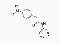 CCN(CC)c1ccc(CC(=O)Nc2ccccc2)cc1